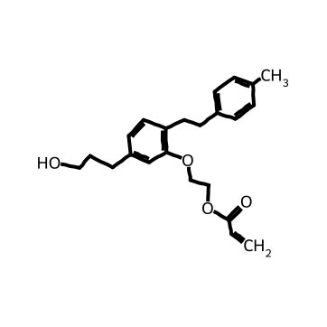 C=CC(=O)OCCOc1cc(CCCO)ccc1CCc1ccc(C)cc1